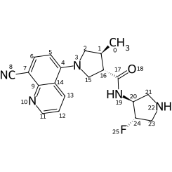 C[C@@H]1CN(c2ccc(C#N)c3ncccc23)C[C@H]1C(=O)N[C@H]1CNC[C@@H]1F